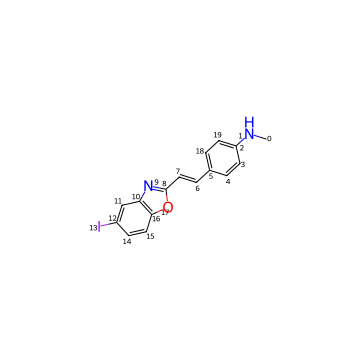 CNc1ccc(C=Cc2nc3cc(I)ccc3o2)cc1